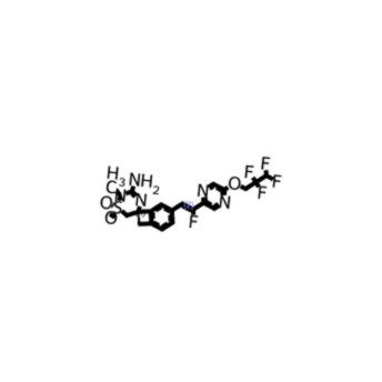 CN1C(N)=N[C@@]2(Cc3ccc(/C=C(\F)c4cnc(OCC(F)(F)C(F)F)cn4)cc32)CS1(=O)=O